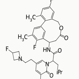 Cc1cc2cc(c1F)C(NC(=O)C(CC(C)C)n1cc(CCN3CC(F)C3)cc(F)c1=O)CC(=O)OCc1cc(F)cc(C)c1-2